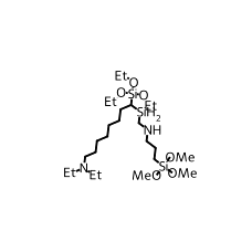 CCO[Si](OCC)(OCC)C(CCCCCCCN(CC)CC)[SiH2]CNCCC[Si](OC)(OC)OC